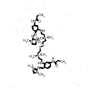 CCC(=O)Nc1ccc(/C=N/c2n(C)cc[n+]2C)c(NCC[N+](C)(C)CCSSCC[N+](C)(C)CCNc2cc(NC(=O)CC)ccc2/N=N/c2n(C)cc[n+]2C)c1